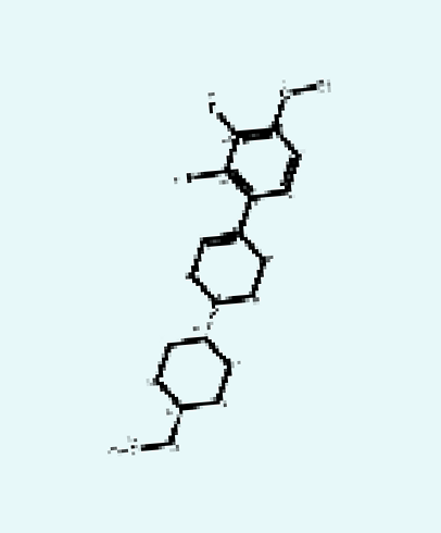 CCOc1ccc(C2=CCC([C@H]3CC[C@H](CC=O)CC3)CC2)c(F)c1F